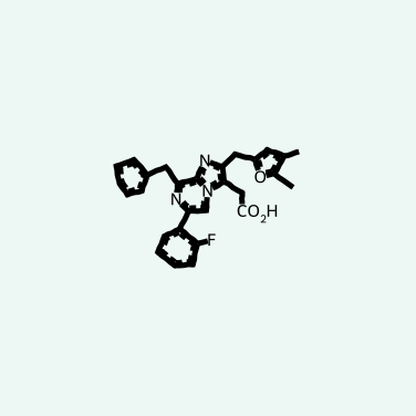 Cc1cc(Cc2nc3c(Cc4ccccc4)nc(-c4ccccc4F)cn3c2CC(=O)O)oc1C